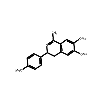 COc1ccc(C2Cc3cc(OC)c(OC)cc3C(C)=N2)cc1